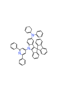 C1=CCCC(N(c2ccccc2)c2ccc3c(c2)c2c(n3-c3cc(-c4ccccc4)nc(-c4ccccc4)c3)-c3ccccc3C23c2ccccc2-c2ccccc23)=C1